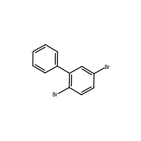 Brc1ccc(Br)c(-c2cc[c]cc2)c1